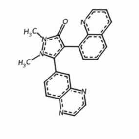 Cn1c(-c2ccc3nccnc3c2)c(-c2cccc3cccnc23)c(=O)n1C